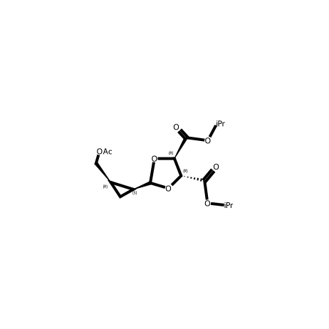 CC(=O)OC[C@@H]1C[C@@H]1C1O[C@@H](C(=O)OC(C)C)[C@H](C(=O)OC(C)C)O1